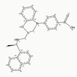 C[C@@H](NCC1CN(c2ccc(C(=O)O)cc2)c2ccccc2O1)c1cccc2ccccc12